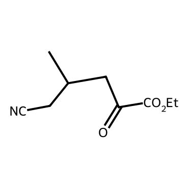 CCOC(=O)C(=O)CC(C)CC#N